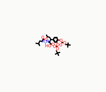 CC(C)CCC(=O)OC(C)CC(c1ccc(OC(=O)OCC(C)(C)C)c(OC(=O)OCC(C)(C)C)c1)[C@H](N)C(=O)O